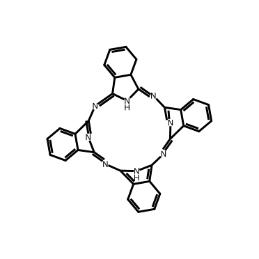 C1=CCC2C(=C1)c1nc3nc(nc4[nH]c(nc5nc(nc2[nH]1)-c1ccccc1-5)c1ccccc41)-c1ccccc1-3